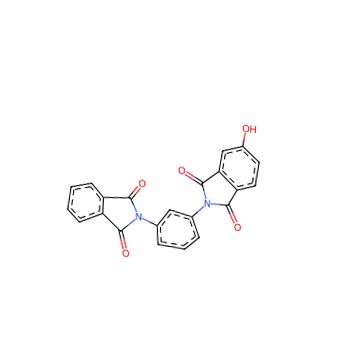 O=C1c2ccccc2C(=O)N1c1cccc(N2C(=O)c3ccc(O)cc3C2=O)c1